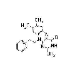 C=c1nc2c(c(=O)[nH]1)=Nc1cc(C)c(C)cc1N2CCc1ccccc1